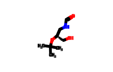 CC(C)(C)O[C@@H](CO)CNC=O